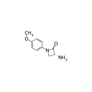 COc1ccc(N2C[C@@H](N)C2=O)cc1